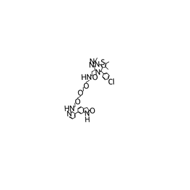 Cc1sc2c(c1C)C(c1ccc(Cl)cc1)=N[C@@H](CC(=O)NCCOCCOCCOCCNc1ncccc1-c1ccc3c(c1)NC(=O)C3)c1nnc(C)n1-2